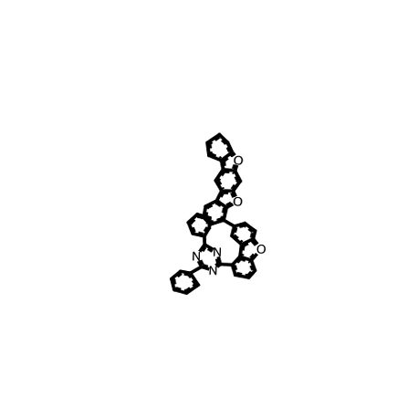 c1ccc(-c2nc(-c3ccccc3)nc(-c3cccc4oc5ccc(-c6cccc7c6oc6cc8oc9ccccc9c8cc67)cc5c34)n2)cc1